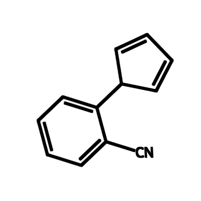 N#Cc1ccccc1C1C=CC=C1